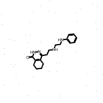 O=c1[nH]nc(CCNCCNc2ccccc2)c2c1CCCC2